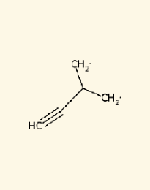 C#CC([CH2])[CH2]